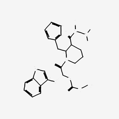 CN(C)N(C)C(=O)C1CCCN(C(=O)[C@@H](Cc2c[nH]c3ccccc23)NC(=O)OC(C)(C)C)C1Cc1ccccc1